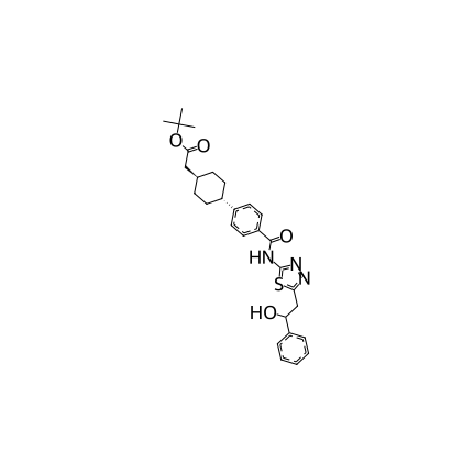 CC(C)(C)OC(=O)C[C@H]1CC[C@H](c2ccc(C(=O)Nc3nnc(CC(O)c4ccccc4)s3)cc2)CC1